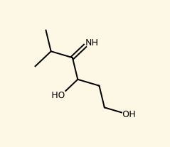 CC(C)C(=N)C(O)CCO